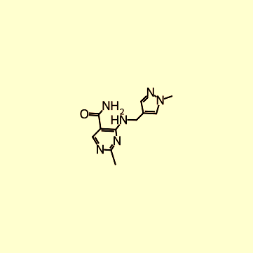 Cc1ncc(C(N)=O)c(NCc2cnn(C)c2)n1